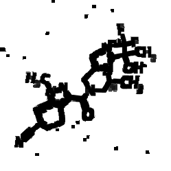 C[C@H]1CN(C(=O)c2nn(C)c3cc(C#N)ccc23)Cc2cnc(C(C)(O)C(F)(F)F)n21